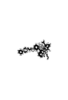 CCCCn1c(=O)c(NC(=O)Nc2c(C(C)C)cccc2C(C)C)c(-c2cccc(OCCCN3CCN(c4ccccc4)CC3)c2)c2cccnc21